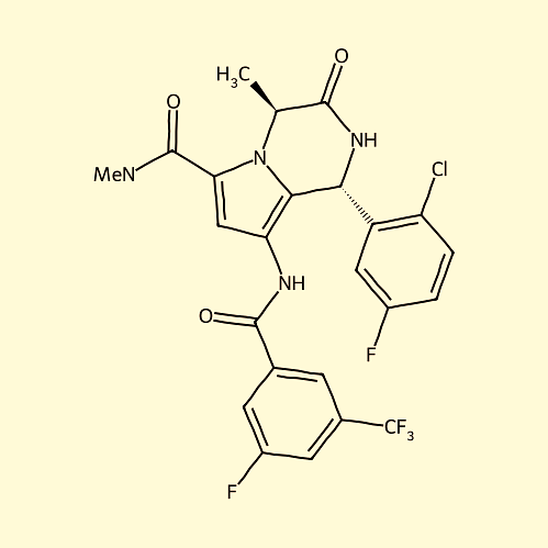 CNC(=O)c1cc(NC(=O)c2cc(F)cc(C(F)(F)F)c2)c2n1[C@@H](C)C(=O)N[C@@H]2c1cc(F)ccc1Cl